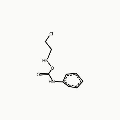 O=C(Nc1ccccc1)ONCCCl